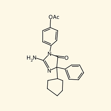 CC(=O)Oc1ccc(N2C(=O)C(c3ccccc3)(C3CCCCC3)N=C2N)cc1